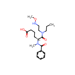 CCCN(CCNOC)C(=O)[C@H](CCCC(=O)O)N(C)C(=O)c1ccccc1